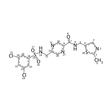 Cc1ncc(CNC(=O)c2cnc(CNS(=O)(=O)c3cc(Cl)cc(Cl)c3)cn2)s1